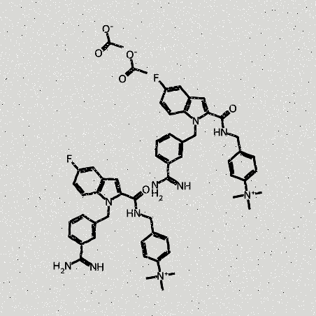 CC(=O)[O-].CC(=O)[O-].C[N+](C)(C)c1ccc(CNC(=O)c2cc3cc(F)ccc3n2Cc2cccc(C(=N)N)c2)cc1.C[N+](C)(C)c1ccc(CNC(=O)c2cc3cc(F)ccc3n2Cc2cccc(C(=N)N)c2)cc1